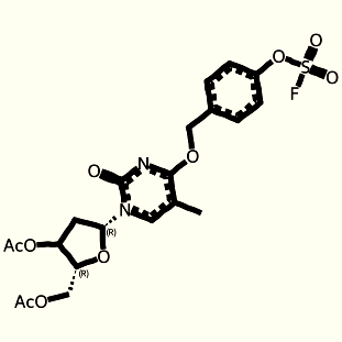 CC(=O)OC[C@H]1O[C@@H](n2cc(C)c(OCc3ccc(OS(=O)(=O)F)cc3)nc2=O)CC1OC(C)=O